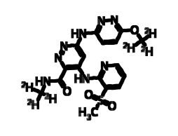 [2H]C([2H])([2H])NC(=O)c1nnc(Nc2ccc(OC([2H])([2H])[2H])nn2)cc1Nc1ncccc1S(C)(=O)=O